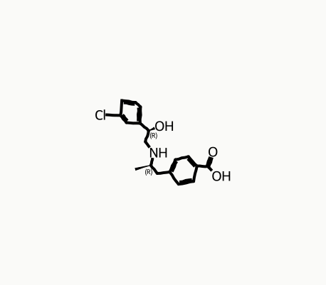 C[C@H](Cc1ccc(C(=O)O)cc1)NC[C@H](O)c1cccc(Cl)c1